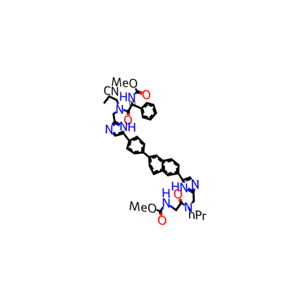 CCCN(Cc1ncc(-c2ccc3cc(-c4ccc(-c5cnc(CN(CC(C)C#N)C(=O)[C@H](NC(=O)OC)c6ccccc6)[nH]5)cc4)ccc3c2)[nH]1)C(=O)CNC(=O)OC